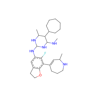 CNC1NC(Nc2cc3c(c(C4=CC(C)NCCC4)c2F)OCC3)NC(C)C1C1CCCCCC1